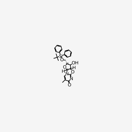 Cc1cn2c(nc1=O)O[C@@H]1C(O)[C@@H](CO[Si](c3ccccc3)(c3ccccc3)C(C)(C)C)O[C@H]12